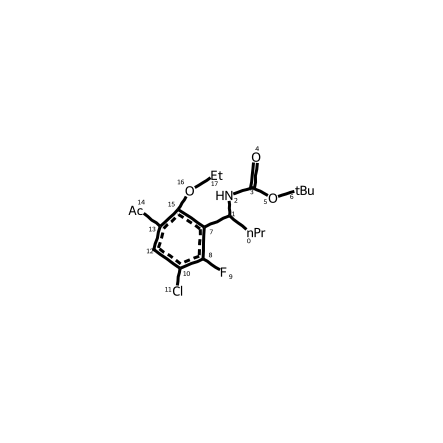 CCCC(NC(=O)OC(C)(C)C)c1c(F)c(Cl)cc(C(C)=O)c1OCC